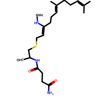 CNN/C(=C\CSCC(C=O)NC(=O)CCC(N)=O)CC/C=C(\C)CCC=C(C)C